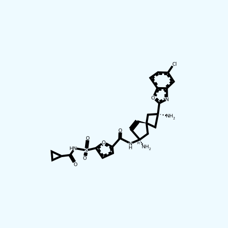 N[C@]1(NC(=O)c2ccc(S(=O)(=O)NC(=O)C3CC3)o2)C#C[C@]2(C1)C[C@](N)(c1nc3cc(Cl)ccc3o1)C2